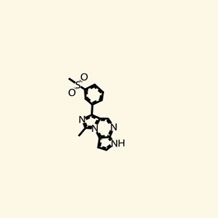 Cc1nc(-c2cccc(S(C)(=O)=O)c2)c2cnc3[nH]ccc3n12